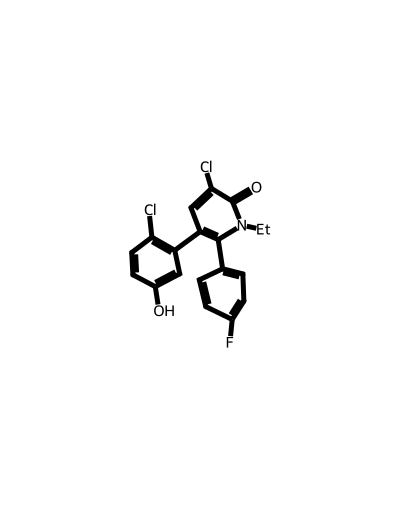 CCn1c(-c2ccc(F)cc2)c(-c2cc(O)ccc2Cl)cc(Cl)c1=O